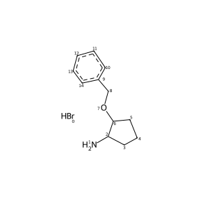 Br.NC1CCCC1OCc1ccccc1